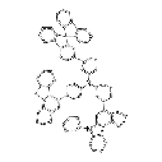 c1ccc(-n2c3ccccc3c3c4ccccc4c(-c4cccc(N(c5ccc(-c6cc7ccccc7c7c6-c6ccccc6C7)cc5)c5cccc(-c6ccc7c(c6)C6(c8ccccc8-c8ccccc86)c6ccccc6-7)c5)c4)cc32)cc1